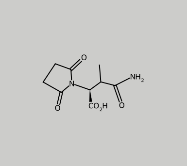 CC(C(N)=O)[C@@H](C(=O)O)N1C(=O)CCC1=O